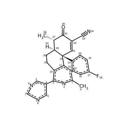 Cc1nc(-c2cncnc2)c2c(n1)[C@@]1(c3ccc(F)cc3)C=C(C#N)C(=O)[C@@H](C)[C@@H]1CC2